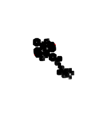 C=C(C)C(=O)OCCOC(=O)c1ccc(-c2nc(-c3ccccc3Cl)n(-n3c(-c4ccccc4Cl)nc(-c4ccccc4)c3-c3ccccc3)c2-c2ccccc2)cc1